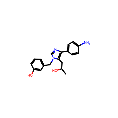 CC(O)Cc1c(-c2ccc(N)cc2)ncn1Cc1cccc(O)c1